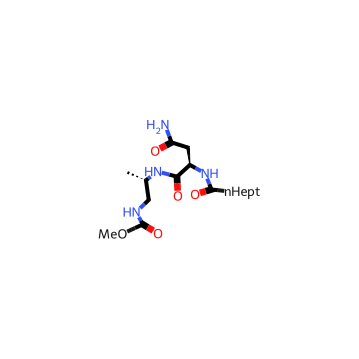 CCCCCCCC(=O)N[C@H](CC(N)=O)C(=O)N[C@@H](C)CNC(=O)OC